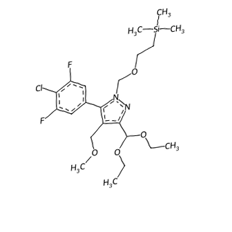 CCOC(OCC)c1nn(COCC[Si](C)(C)C)c(-c2cc(F)c(Cl)c(F)c2)c1COC